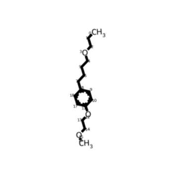 CCCOCCCCc1ccc(OCCOC)cc1